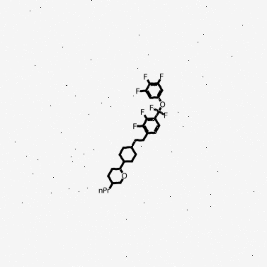 CCCC1CCC(C2CCC(CCc3ccc(C(F)(F)Oc4cc(F)c(F)c(F)c4)c(F)c3F)CC2)OC1